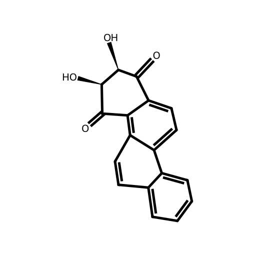 O=C1c2c(ccc3c2ccc2ccccc23)C(=O)[C@H](O)[C@@H]1O